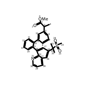 COC(=O)C(C)c1cccc(-c2ccccc2-c2cc(C(C)(C)S(C)(=O)=O)cc3cccnc23)c1